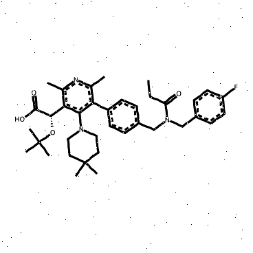 CCC(=O)N(Cc1ccc(F)cc1)Cc1ccc(-c2c(C)nc(C)c([C@H](OC(C)(C)C)C(=O)O)c2N2CCC(C)(C)CC2)cc1